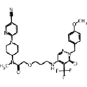 COc1ccc(Cn2ncc(NCCCOCC(=O)N(C)C3CCN(c4ccc(C#N)cn4)CC3)c(C(F)(F)F)c2=O)cc1